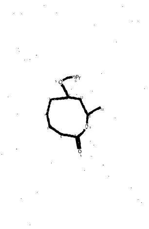 CCCOC1CCCCC(=O)OC(C)C1